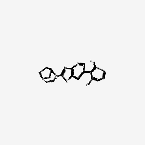 Cc1cccc(F)c1-c1cnc2nc(N3CC[N@@]4CCC3C4)oc2c1